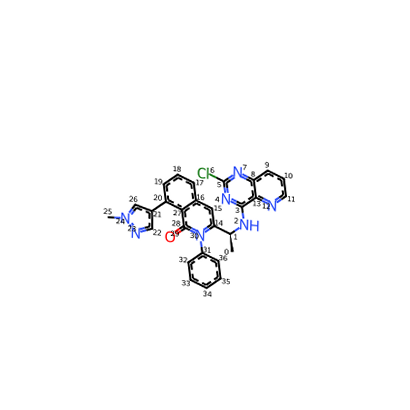 C[C@H](Nc1nc(Cl)nc2cccnc12)c1cc2cccc(-c3cnn(C)c3)c2c(=O)n1-c1ccccc1